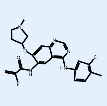 C=C(F)C(=O)Nc1cc2c(Nc3ccc(F)c(Cl)c3)ncnc2cc1OC1CCN(C)C1